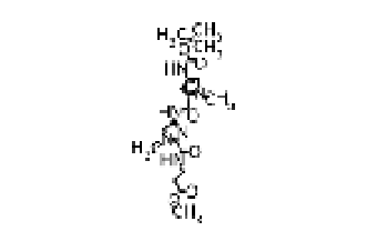 COC(=O)CCNC(=O)c1nc(NC(=O)c2cc(NC(=O)OC(C)(C)C)cn2C)cn1C